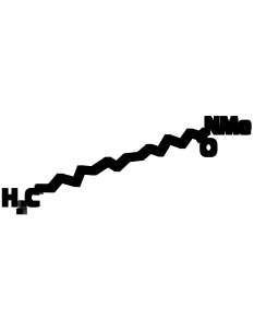 C=CCCCCCCCCCCCCCCC(=O)NC